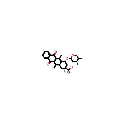 CC(=O)[C@]1(N)Cc2c(C)c3c(c(C)c2[C@H](O[C@H]2C[C@H](C)[C@H](C)CO2)C1)C(=O)c1ccccc1C3=O